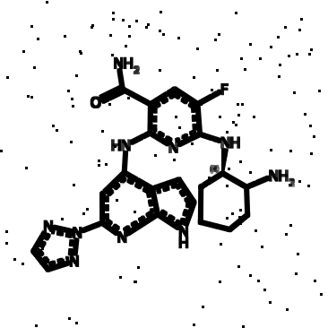 NC(=O)c1cc(F)c(N[C@@H]2CCCCC2N)nc1Nc1cc(-n2nccn2)nc2[nH]ccc12